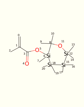 C=C(C)C(=O)O[Si]1(C)C(C)(C)O[Si](C)(C)[Si](C)(C)[Si]1(C)C